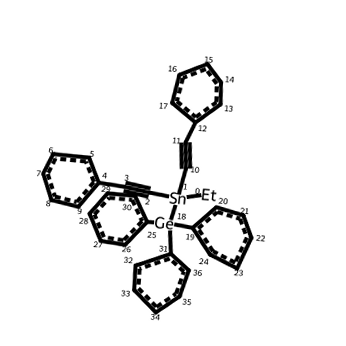 C[CH2][Sn]([C]#Cc1ccccc1)([C]#Cc1ccccc1)[Ge]([c]1ccccc1)([c]1ccccc1)[c]1ccccc1